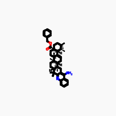 C[C@H]1[C@H](C)CC[C@]2(C(=O)OCc3ccccc3)CC[C@]3(C)C(=CC[C@@H]4[C@@]5(C)Cc6c(nc7ccccc7c6N)C(C)(C)[C@@H]5CC[C@]43C)[C@H]12